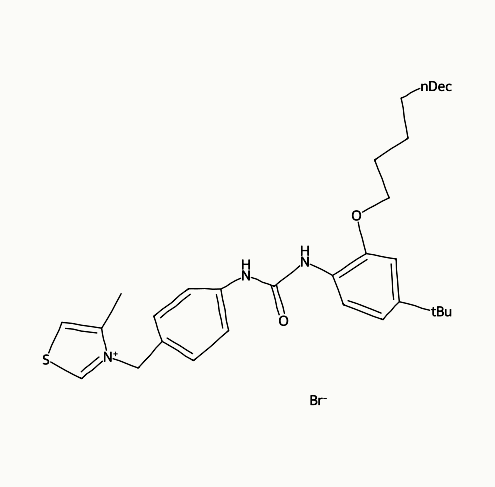 CCCCCCCCCCCCCCOc1cc(C(C)(C)C)ccc1NC(=O)Nc1ccc(C[n+]2cscc2C)cc1.[Br-]